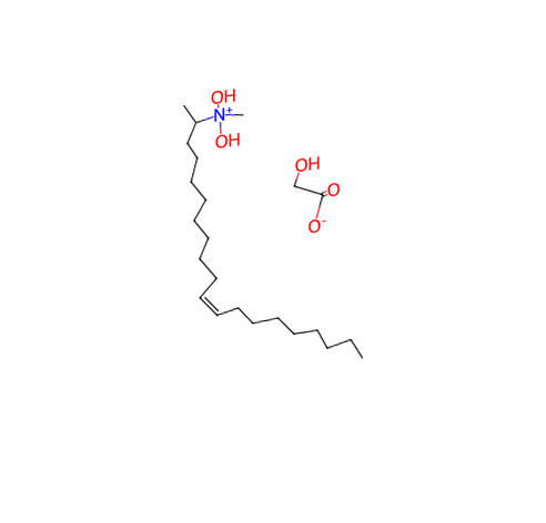 CCCCCCCC/C=C\CCCCCCCCC(C)[N+](C)(O)O.O=C([O-])CO